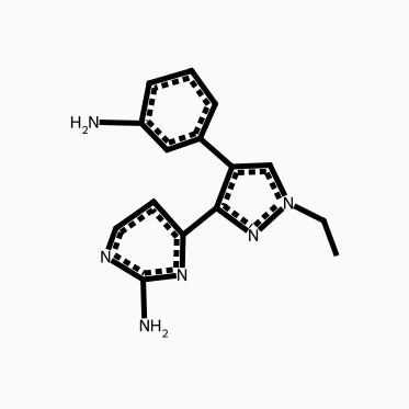 CCn1cc(-c2cccc(N)c2)c(-c2ccnc(N)n2)n1